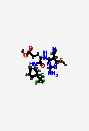 COC(=O)CC[C@H](Nc1nc(N)nc(SC)c1C#N)C(=O)Nc1cccc(C(F)(F)F)c1